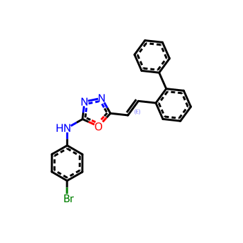 Brc1ccc(Nc2nnc(/C=C/c3ccccc3-c3ccccc3)o2)cc1